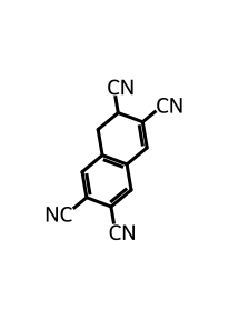 N#CC1=Cc2cc(C#N)c(C#N)cc2CC1C#N